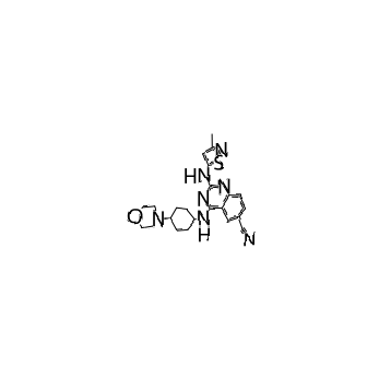 Cc1cc(Nc2nc(N[C@H]3CC[C@H](N4CCOCC4)CC3)c3cc(C#N)ccc3n2)sn1